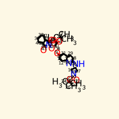 CC(C)(C)OC(=O)[C@H](COc1ccc2nc(NC3CN(C(=O)OC(C)(C)C)C3)ccc2c1)ON1C(=O)c2ccccc2C1=O